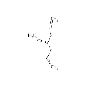 C=CCC(=CC)CC=C